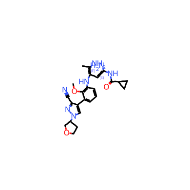 COc1c(NC(/C=C(\N)NC(=O)C2CC2)=C(\C)N)cccc1-c1cn(C2CCOC2)nc1C#N